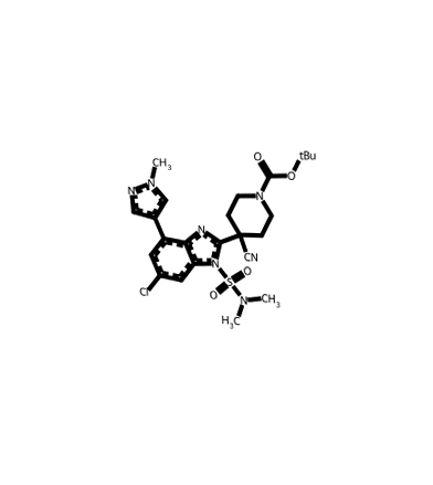 CN(C)S(=O)(=O)n1c(C2(C#N)CCN(C(=O)OC(C)(C)C)CC2)nc2c(-c3cnn(C)c3)cc(Cl)cc21